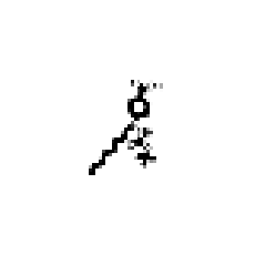 CCCCCCCCN(NC(=O)OC(C)(C)C)C1CCC(C(=O)O)CC1